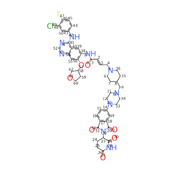 O=C(/C=C/CN1CCC(CN2CCN(c3ccc4c(c3)C(=O)N(C3CCC(=O)NC3=O)C4=O)CC2)CC1)Nc1cc2c(Nc3ccc(F)c(Cl)c3)ncnc2cc1OC1CCOC1